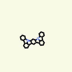 c1ccc2c(c1)c1cccc3c4cc5c6cccc7c8ccccc8n(c5cc4n2c13)c76